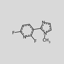 Cn1ccnc1-c1ccc(F)nc1F